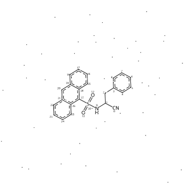 N#CC(Cc1ccccc1)NS(=O)(=O)c1c2ccccc2cc2ccccc12